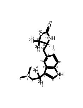 [2H]C([2H])(CN(C)C)c1c[nH]c2ccc(C[C@]3([2H])NC(=O)OC3([2H])[2H])cc12